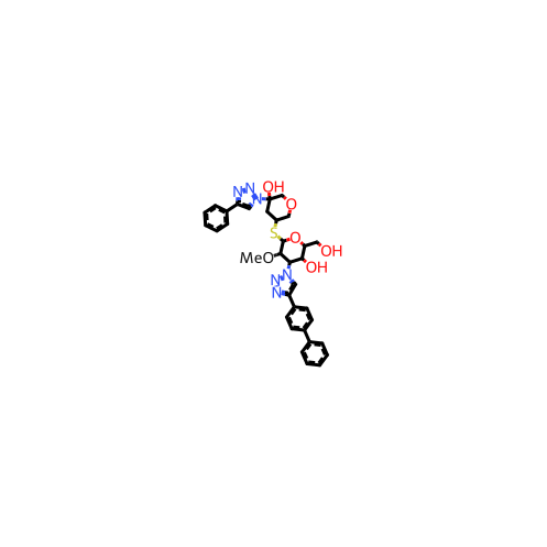 COC1C(SC2COCC(O)(n3cc(-c4ccccc4)nn3)C2)OC(CO)C(O)C1n1cc(-c2ccc(-c3ccccc3)cc2)nn1